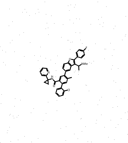 CNC(C)c1c(-c2ccc(F)cc2)oc2ccc(-c3cc(C(=O)NC4(c5ccccn5)CC4)c(-c4ccccc4Cl)cc3C)cc12